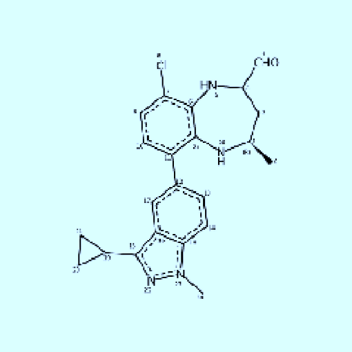 C[C@@H]1CC(C=O)Nc2c(Cl)ccc(-c3ccc4c(c3)c(C3CC3)nn4C)c2N1